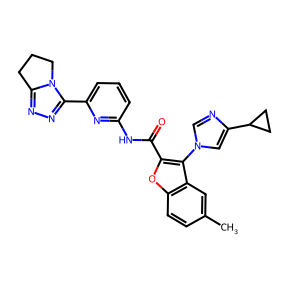 Cc1ccc2oc(C(=O)Nc3cccc(-c4nnc5n4CCC5)n3)c(-n3cnc(C4CC4)c3)c2c1